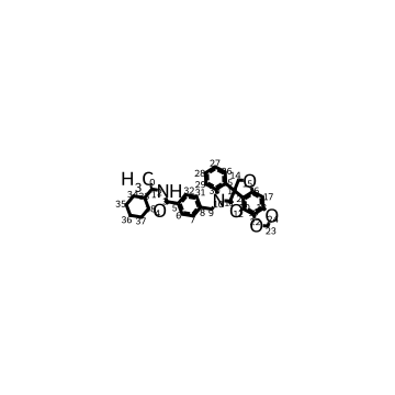 C[C@@H](NC(=O)c1ccc(CN2C(=O)C3(COc4cc5c(cc43)OCO5)c3ccccc32)cc1)C1CCCCC1